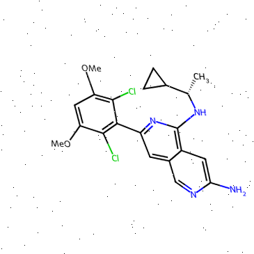 COc1cc(OC)c(Cl)c(-c2cc3cnc(N)cc3c(N[C@@H](C)C3CC3)n2)c1Cl